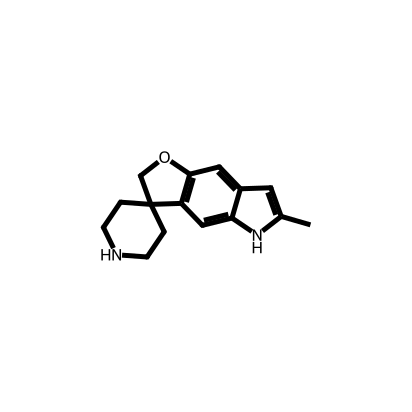 Cc1cc2cc3c(cc2[nH]1)C1(CCNCC1)CO3